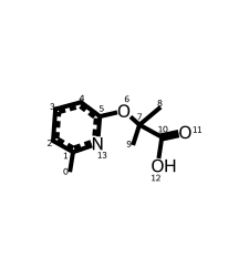 Cc1cccc(OC(C)(C)C(=O)O)n1